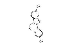 O=Cc1c(-c2ccc(O)cc2)sc2cc(O)ccc12